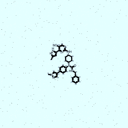 Cc1cc(-c2nc(N[C@H]3CC[C@H](N(C(=O)NCc4ccccc4)c4ccc(-c5cnn(C)c5)cc4)CC3)ncc2C#N)[nH]n1